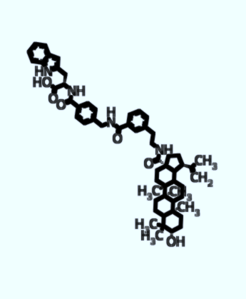 C=C(C)[C@@H]1CC[C@]2(C(=O)NCCc3cccc(C(=O)NCc4ccc(C(=O)N[C@H](Cc5cc6ccccc6[nH]5)C(=O)O)cc4)c3)CC[C@]3(C)C(CCC4[C@@]5(C)CC[C@H](O)C(C)(C)C5CC[C@]43C)C12